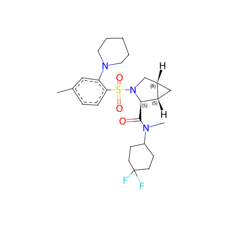 Cc1ccc(S(=O)(=O)N2C[C@@H]3C[C@@H]3[C@H]2C(=O)N(C)C2CCC(F)(F)CC2)c(N2CCCCC2)c1